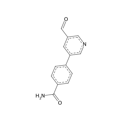 NC(=O)c1ccc(-c2cncc(C=O)c2)cc1